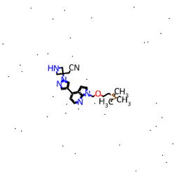 CS(C)(C)CCOCn1ccc2c(-c3cnn(C4(CC#N)CNC4)c3)ccnc21